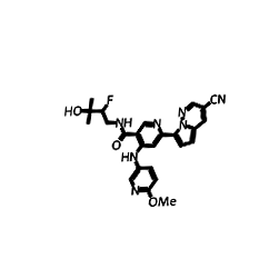 COc1ccc(Nc2cc(-c3ccc4cc(C#N)cnn34)ncc2C(=O)NCC(F)C(C)(C)O)cn1